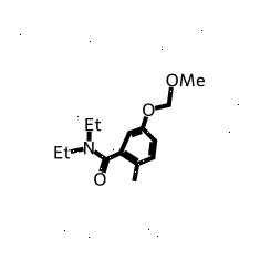 CCN(CC)C(=O)c1cc(OCOC)ccc1C